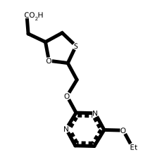 CCOc1ccnc(OCC2OC(CC(=O)O)CS2)n1